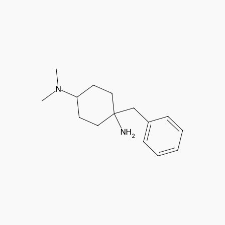 CN(C)C1CCC(N)(Cc2ccccc2)CC1